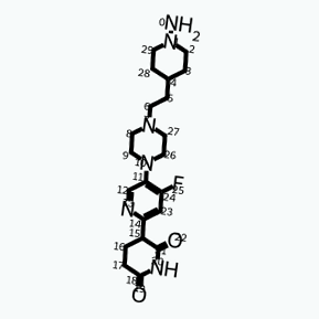 NN1CCC(CCN2CCN(c3cnc(C4CCC(=O)NC4=O)cc3F)CC2)CC1